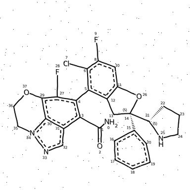 NC(=O)c1c(-c2c(Cl)c(F)cc3c2C[C@](c2ccccc2)([C@@H]2CCCN2)O3)c(F)c2c3c1cnn3CCO2